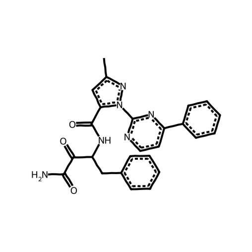 Cc1cc(C(=O)NC(Cc2ccccc2)C(=O)C(N)=O)n(-c2nccc(-c3ccccc3)n2)n1